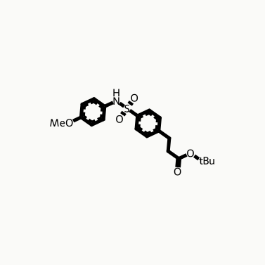 COc1ccc(NS(=O)(=O)c2ccc(CCC(=O)OC(C)(C)C)cc2)cc1